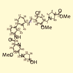 COC(=O)[C@@H]1CCN(Cc2cc(C(F)(F)F)c(/C=C/c3cccc(-c4cccc(NC(=O)c5cc(OC)c(CN6CC[C@@H](O)C6)cn5)c4C)c3C)cc2OC)C1